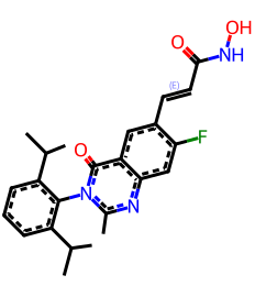 Cc1nc2cc(F)c(/C=C/C(=O)NO)cc2c(=O)n1-c1c(C(C)C)cccc1C(C)C